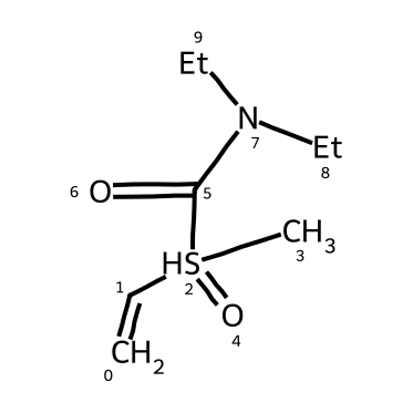 C=C[SH](C)(=O)C(=O)N(CC)CC